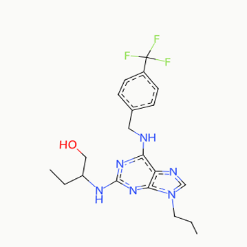 CCCn1cnc2c(NCc3ccc(C(F)(F)F)cc3)nc(NC(CC)CO)nc21